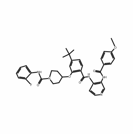 COc1ccc(C(=O)Nc2cnccc2NC(=O)c2ccc(C(C)(C)C)cc2OC2CCN(C(=O)Nc3ccccc3F)CC2)cc1